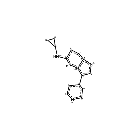 c1cc(-c2cnc3ccc(NC4CC4)nn23)ccn1